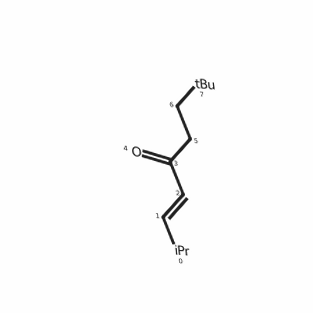 CC(C)/C=C/C(=O)CCC(C)(C)C